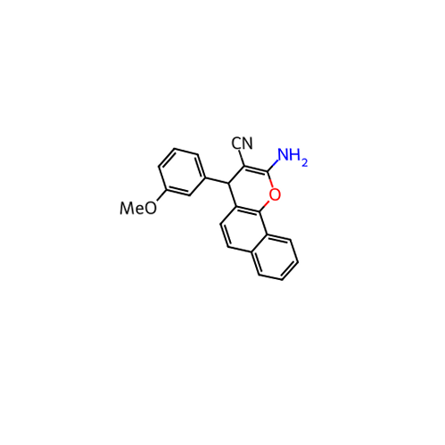 COc1cccc(C2C(C#N)=C(N)Oc3c2ccc2ccccc32)c1